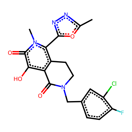 Cc1nnc(-c2c3c(c(O)c(=O)n2C)C(=O)N(Cc2ccc(F)c(Cl)c2)CC3)o1